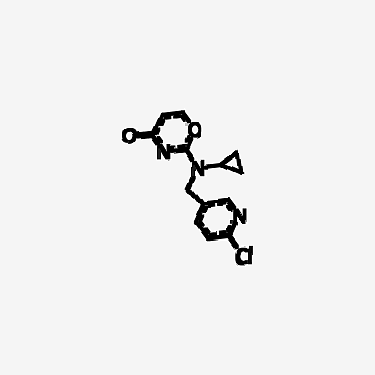 O=c1ccoc(N(Cc2ccc(Cl)nc2)C2CC2)n1